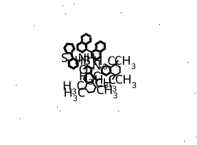 Cc1cc2c(cc1N1c3cc4ccccc4c(-c4c(Nc5cccc6sc7ccccc7c56)ccc5ccccc45)c3Bc3oc4cc5c(cc4c31)C(C)(C)CCC5(C)C)C(C)(C)CCC2(C)C